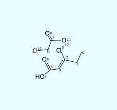 CC/C(Cl)=C/C(=O)O.O=C(O)CCl